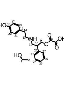 CCO.O=C(O)C(=O)OCC(CNCCc1ccc(O)cc1)c1ccccc1